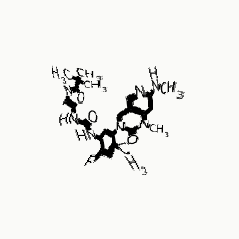 CNc1cc2c(cn1)CN(c1cc(NC(=O)Nc3cnc(C(C)(C)C)o3)c(F)cc1C)C(=O)N2C